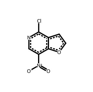 O=[N+]([O-])c1cnc(Cl)c2ccoc12